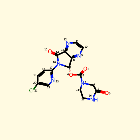 O=C1CN(C(=O)O[C@H]2c3nccnc3C(=O)N2c2ccc(Cl)cn2)CCN1